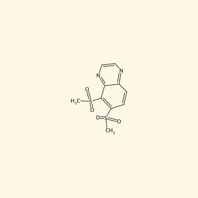 CS(=O)(=O)c1ccc2nccnc2c1S(C)(=O)=O